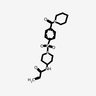 C=CC(=O)NC1CCN(S(=O)(=O)c2ccc(C(=O)N3CCCCC3)cc2)CC1